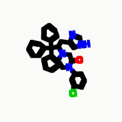 O=C1CN(C(Cc2c[nH]cn2)C(c2ccccc2)(c2ccccc2)c2ccccc2)CCN1c1cccc(Cl)c1